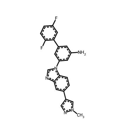 Cn1cc(-c2ccc3c(c2)ncn3-c2cc(N)cc(-c3cc(F)ccc3F)c2)cn1